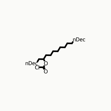 CCCCCCCCCCCCCCCCCCC(CCCCCCCCCCC)OC(=O)Cl